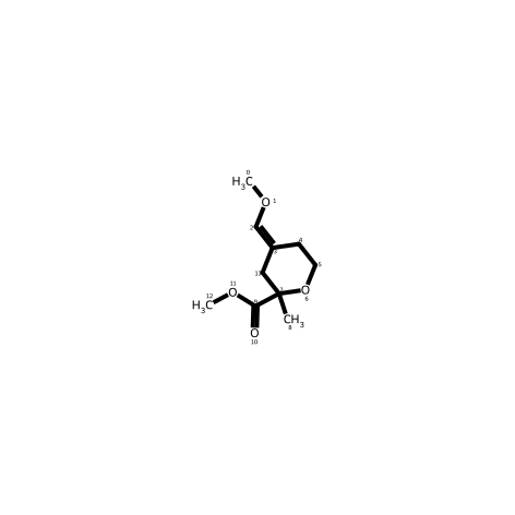 COC=C1CCOC(C)(C(=O)OC)C1